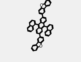 c1ccc2c(-c3c4ccc(-c5ccc6oc7ccccc7c6c5)cc4c(-c4cccc5ccccc45)c4ccc(-c5ccc6oc7ccccc7c6c5)cc34)cccc2c1